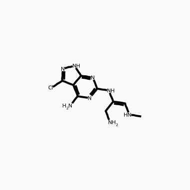 CN/C=C(\CN)Nc1nc(N)c2c(Cl)n[nH]c2n1